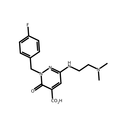 CN(C)CCNc1cc(C(=O)O)c(=O)n(Cc2ccc(F)cc2)n1